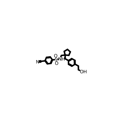 N#Cc1ccc(S(=O)(=O)NCC2(Cc3ccc(CCO)cc3)CCCC2)cc1